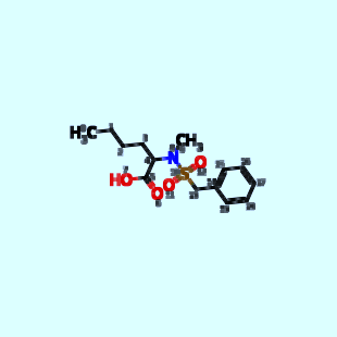 CCCCC(C(=O)O)N(C)S(=O)(=O)Cc1ccccc1